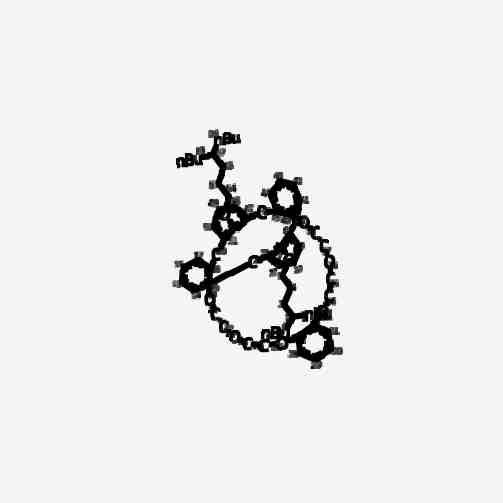 CCCCC(CCCC)CCCOc1c2cccc1Cc1cccc3c1OCCOCCOc1ccccc1OCCOCCOc1c(cccc1Cc1cccc(c1OCCCC(CCCC)CCCC)C3)C2